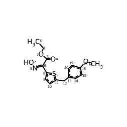 CCOC(=O)C(=NO)c1ccc(Cc2ccc(OC)cc2)s1